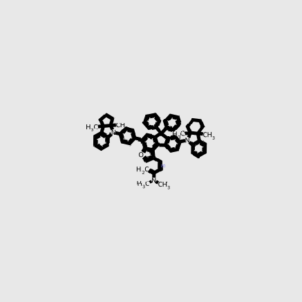 C=C(/C=C\c1coc2c(-c3ccc(N4c5ccccc5C5(C)CCCC45C)cc3)cc3c(c12)-c1ccc(N2c4ccccc4C4(C)CCCCC24C)cc1C3(c1ccccc1)c1ccccc1)N(C)C